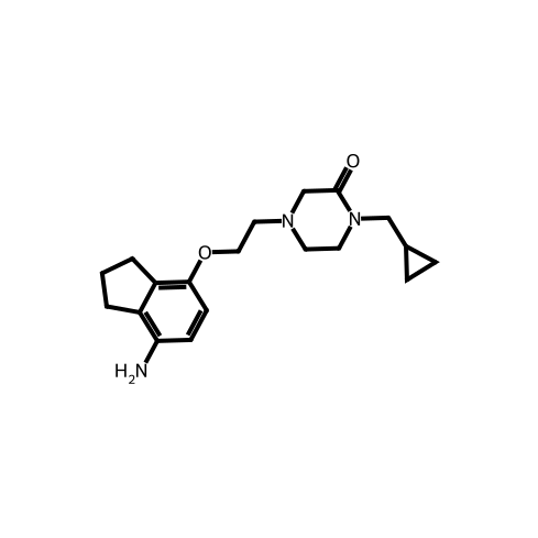 Nc1ccc(OCCN2CCN(CC3CC3)C(=O)C2)c2c1CCC2